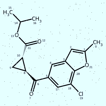 Cc1cc2cc(C(=O)[C@H]3C[C@@H]3C(=O)OC(C)C)cc(Cl)c2o1